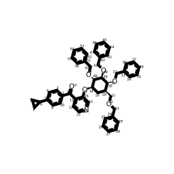 O=C(c1ccc(C2CC2)cc1)c1ccncc1O[C@@H]1C[C@H](COCc2ccccc2)[C@@H](OCc2ccccc2)[C@H](OCc2ccccc2)[C@H]1OCc1ccccc1